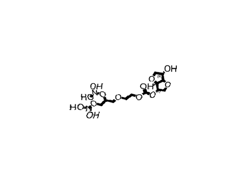 O=C(OCCOCC(CON(O)O)ON(O)O)O[C@@H]1COC2[C@H](O)CO[C@@H]21